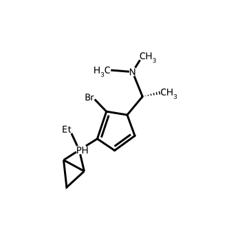 CC[PH]1(C2=C(Br)C([C@@H](C)N(C)C)C=C2)C2CC21